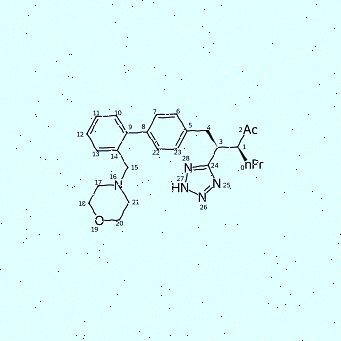 CCC[C@H](C(C)=O)[C@H](Cc1ccc(-c2ccccc2CN2CCOCC2)cc1)c1nn[nH]n1